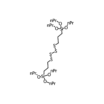 CCCO[Si](CCCSSSSCCC[Si](OCCC)(OCCC)OCCC)(OCCC)OCCC